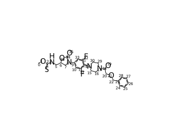 COC(=S)NCC1CN(c2cc(F)c(N3CCN(C(=O)COCc4ccccc4)CC3)c(F)c2)C(=O)O1